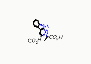 CC(NC(Cc1c[nH]c2ccccc12)C(=O)O)C(=O)O